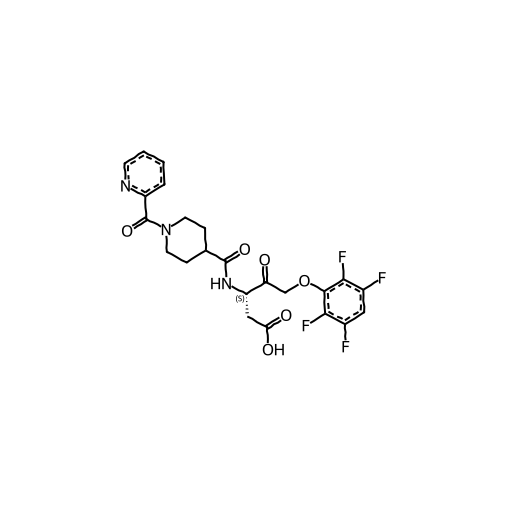 O=C(O)C[C@H](NC(=O)C1CCN(C(=O)c2ccccn2)CC1)C(=O)COc1c(F)c(F)cc(F)c1F